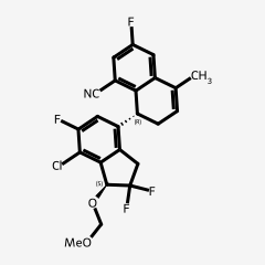 COCO[C@H]1c2c(Cl)c(F)cc([C@H]3CC=C(C)c4cc(F)cc(C#N)c43)c2CC1(F)F